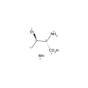 CC[C@H](C)[C@H](N)C(=O)O.[Mn]